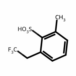 Cc1cccc(CC(F)(F)F)c1S(=O)(=O)O